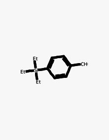 [CH]c1ccc([Si](CC)(CC)CC)cc1